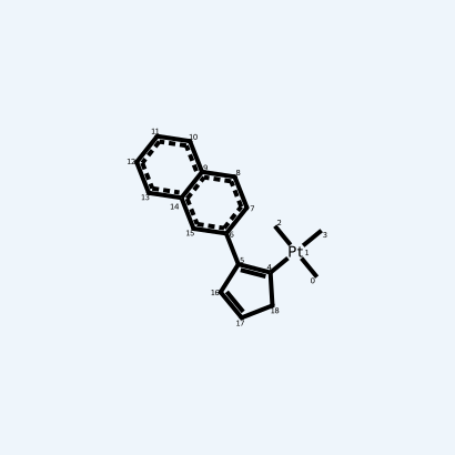 [CH3][Pt]([CH3])([CH3])[C]1=C(c2ccc3ccccc3c2)C=CC1